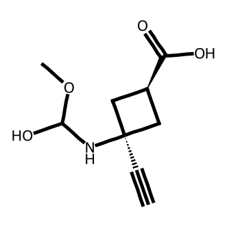 C#C[C@]1(NC(O)OC)C[C@@H](C(=O)O)C1